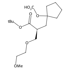 COCCOC[C@H](CC1(OC(=O)O)CCCC1)C(=O)OC(C)(C)C